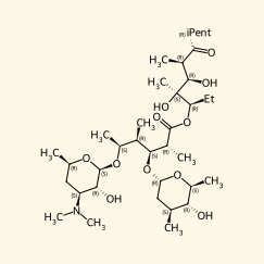 CCC[C@@H](C)C(=O)[C@H](C)[C@@H](O)[C@](C)(O)[C@@H](CC)OC(=O)[C@H](C)[C@@H](O[C@H]1C[C@H](C)[C@@H](O)[C@H](C)O1)[C@H](C)[C@H](C)O[C@@H]1O[C@H](C)C[C@H](N(C)C)[C@H]1O